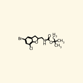 CC(C)(C)OC(=O)NCC1Cc2cc(Br)cc(Cl)c2O1